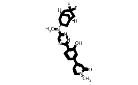 CN(c1cnc(-c2ccc(-c3ccn(C)c(=O)c3)cc2O)nn1)[C@H]1C[C@H]2C[C@@H](C1)CC(F)(F)C2